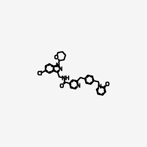 O=C(NCc1nn(C2CCCCO2)c2ccc(Cl)cc12)c1ccnc(Cc2ccc(Cn3ccccc3=O)cc2)c1